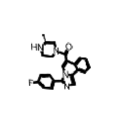 C[C@H]1CN(C(=O)c2cn3c(-c4ccc(F)cc4)ncc3c3ccccc23)CCN1